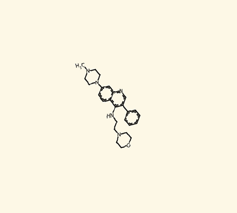 CN1CCN(c2ccc3c(NCCN4CCOCC4)c(-c4ccccc4)cnc3c2)CC1